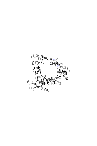 CC(=O)CC(=O)N(C)[C@@H](C)C(=O)O[C@H]1CC(=O)N(C)c2cc(cc(C)c2Cl)C/C(C)=C/C=C/[C@@H](C)[C@@]2(O)CC(OC(=O)N2)[C@@H](C)[C@@H]2O[C@@]12C